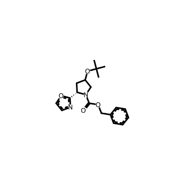 CC(C)(C)OC1C[C@@H](c2ncco2)N(C(=O)OCc2ccccc2)C1